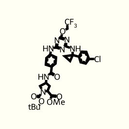 COC(=O)C1CC(NC(=O)c2ccc(Nc3nc(NC4(c5ccc(Cl)cc5)CC4)nc(OCC(F)(F)F)n3)cc2)CN1C(=O)OC(C)(C)C